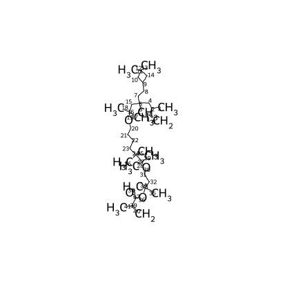 C=CC(C)CC(C)(CCC1CC(C)(C)C1)CC(C)(C)OCCCCC(C)(C)C(C)(C)OCCC(C)(C)OC(=O)C(=C)C